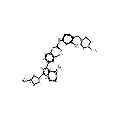 CN1CCN(Cc2ccc(NC(=O)Nc3ccc(-c4nc(C5CCN(C)C5)n5ccnc(N)c45)cc3F)cc2C(F)(F)F)CC1